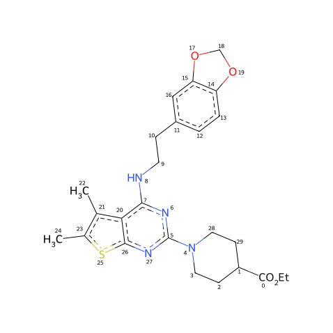 CCOC(=O)C1CCN(c2nc(NCCc3ccc4c(c3)OCO4)c3c(C)c(C)sc3n2)CC1